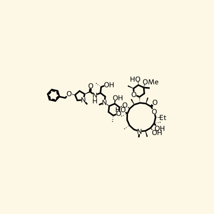 CC[C@H]1OC(=O)[C@H](C)[C@@H](C2C[C@@](C)(OC)[C@@H](O)[C@H](C)O2)[C@H](C)[C@@H](O[C@@H]2O[C@H](C)C[C@H](N(C)CC(NC(=O)[C@@H]3C[C@@H](OCc4ccccc4)CN3C)[C@H](C)O)[C@H]2O)[C@](C)(O)C[C@@H](C)CN(C)[C@H](C)[C@@H](O)[C@]1(C)O